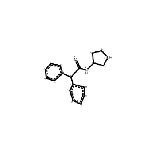 O=C(NC1CCNC1)C(c1ccccc1)c1ccccc1